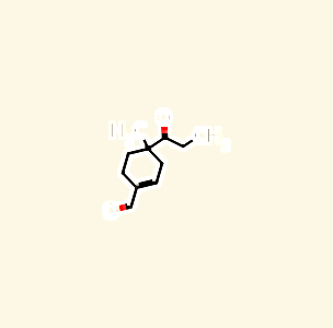 CCC(=O)C1(C)CC=C(C=O)CC1